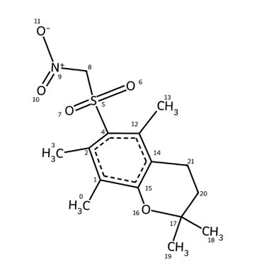 Cc1c(C)c(S(=O)(=O)C[N+](=O)[O-])c(C)c2c1OC(C)(C)CC2